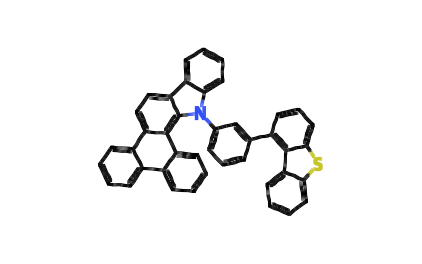 c1cc(-c2cccc3sc4ccccc4c23)cc(-n2c3ccccc3c3ccc4c5ccccc5c5ccccc5c4c32)c1